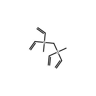 C=CS(C)(C=C)CS(C)(C=C)C=C